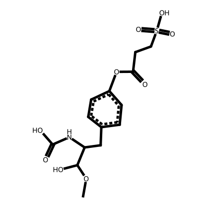 COC(O)C(Cc1ccc(OC(=O)CCS(=O)(=O)O)cc1)NC(=O)O